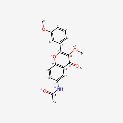 COc1cccc(-c2oc3ccc(NC(C)=O)cc3c(=O)c2OC)c1